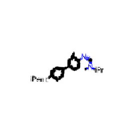 CCCC(C)c1ccc(-c2ccc(/N=C\N(C)C(C)C)c(C)c2)cc1